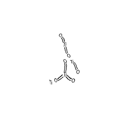 [O]=[Ti].[O]=[Ti](=[O])=[O].[O]=[Ti]=[O].[Ti]